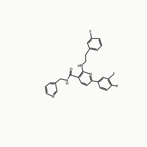 O=C(NCc1cccnc1)c1ccc(-c2ccc(F)c(F)c2)nc1NCCc1cccc(F)c1